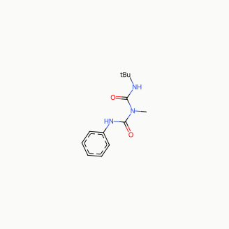 CN(C(=O)Nc1ccccc1)C(=O)NC(C)(C)C